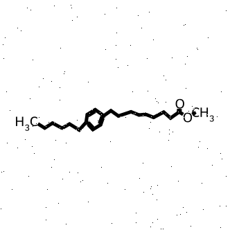 CCCCCCc1ccc(CCCCCCCCC(=O)OC)cc1